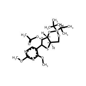 COc1ncc(C2S[C@@H]3CO[Si](C(C)(C)C)(C(C)(C)C)O[C@H]3[C@H]2OC(C)=O)c(OC)n1